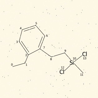 CCc1ccccc1CC[Si](C)(Cl)Cl